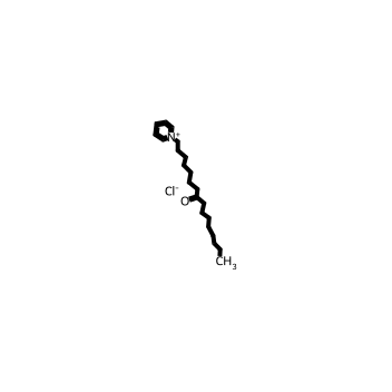 CCCCCCCCC(=O)CCCCCCC[n+]1ccccc1.[Cl-]